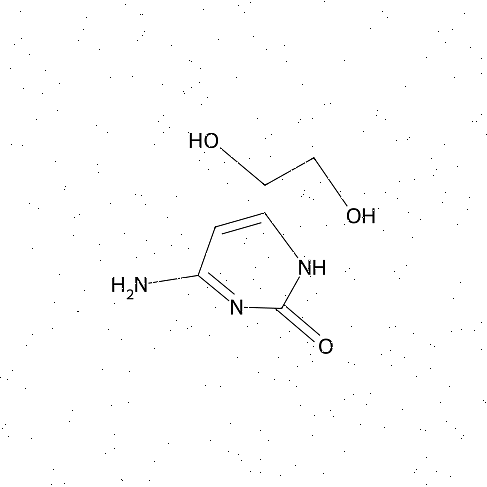 Nc1cc[nH]c(=O)n1.OCCO